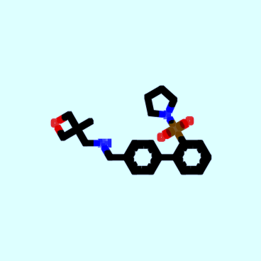 CC1(CNCc2ccc(-c3ccccc3S(=O)(=O)N3CCCC3)cc2)COC1